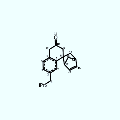 CC(C)Cc1ccc2c(c1)C1(CC(=O)C2)CC2C=CC1C2